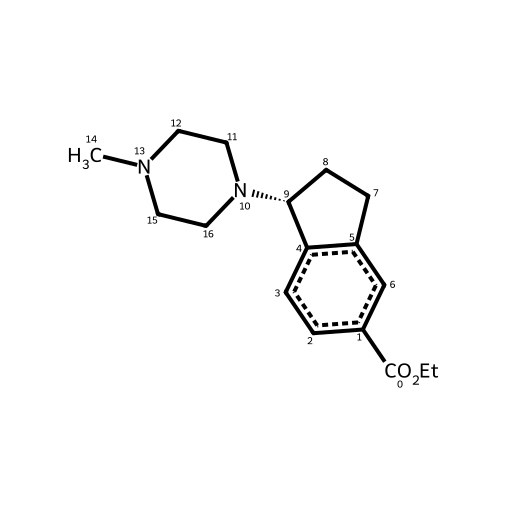 CCOC(=O)c1ccc2c(c1)CC[C@H]2N1CCN(C)CC1